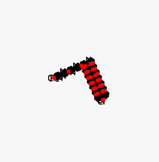 [Cl-].[Cl-].[Cl-].[Fe+3].c1ccc(-c2ccccn2)nc1.c1ccc(-c2ccccn2)nc1.c1ccc(-c2ccccn2)nc1.c1ccc(-c2ccccn2)nc1.c1ccc(-c2ccccn2)nc1.c1ccc(-c2ccccn2)nc1.c1ccc(-c2ccccn2)nc1.c1ccc(-c2ccccn2)nc1.c1ccc(-c2ccccn2)nc1